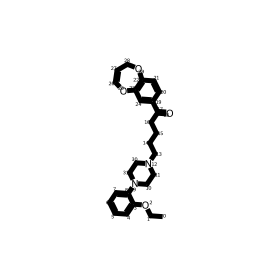 CCOc1ccccc1N1CCN(CCCCC(=O)c2ccc3c(c2)OC=CCO3)CC1